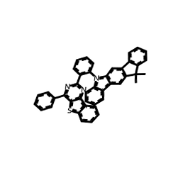 CC1(C)c2ccccc2-c2cc3c(cc21)c1ccccc1n3-c1ccccc1-c1nc(-c2ccccc2)c2sc3ccccc3c2n1